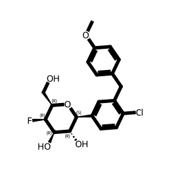 COc1ccc(Cc2cc([C@@H]3O[C@H](CO)[C@H](F)[C@H](O)[C@H]3O)ccc2Cl)cc1